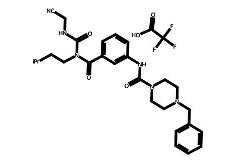 CC(C)CCN(C(=O)NCC#N)C(=O)c1cccc(NC(=O)N2CCN(Cc3ccccc3)CC2)c1.O=C(O)C(F)(F)F